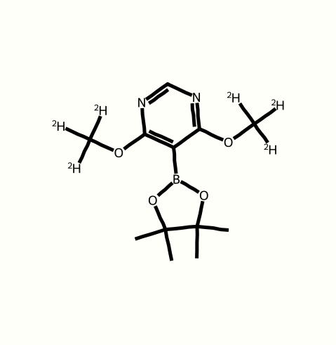 [2H]C([2H])([2H])Oc1ncnc(OC([2H])([2H])[2H])c1B1OC(C)(C)C(C)(C)O1